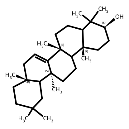 CC1(C)CC[C@]2(C)CC=C3[C@]4(C)CCC5C(C)(C)[C@@H](O)CC[C@]5(C)C4CC[C@@]3(C)C2C1